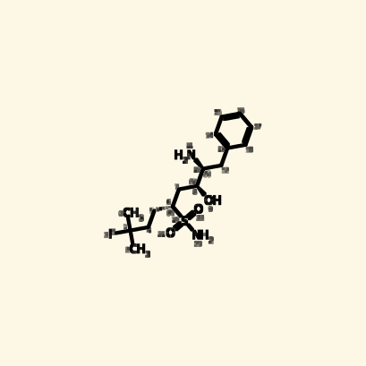 CC(C)(F)CC[C@H](C[C@H](O)[C@@H](N)Cc1ccccc1)S(N)(=O)=O